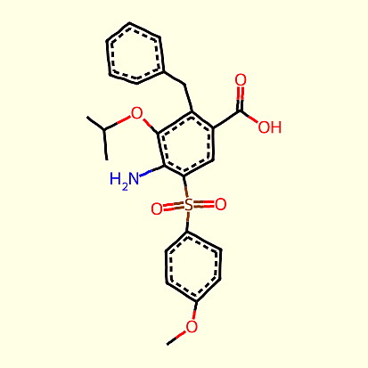 COc1ccc(S(=O)(=O)c2cc(C(=O)O)c(Cc3ccccc3)c(OC(C)C)c2N)cc1